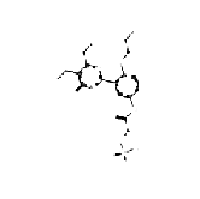 CCCOc1ccc(NC(=O)COP(=O)(O)O)cc1-c1nc(CC)c(CC)c(=O)[nH]1